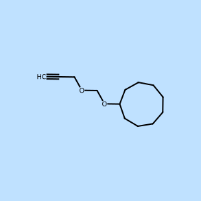 C#CCOCOC1CCCCCCCC1